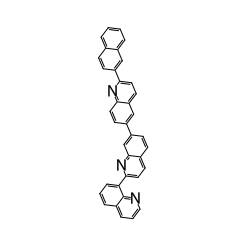 c1ccc2cc(-c3ccc4cc(-c5ccc6ccc(-c7cccc8cccnc78)nc6c5)ccc4n3)ccc2c1